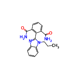 CCCn1c(-c2c(C(N)=O)cccc2C(N)=O)nc2ccccc21